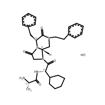 C[C@H](N)C(=O)N[C@H](C(=O)N1CC(=O)N2[C@@H]1CN(CCc1ccccc1)C(=O)[C@@H]2Cc1ccccc1)C1CCCCC1.Cl